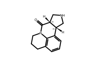 O=C1[C@@H]2CNC[C@@H]2c2cccc3c2N1CCC3